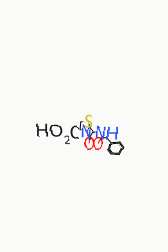 O=C(Cc1ccccc1)NC1C(=O)N2C(C(=O)O)CSC12